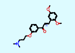 COc1ccc(OC)c(/C=C/C(=O)c2cccc(OCCCN(C)C)c2)c1